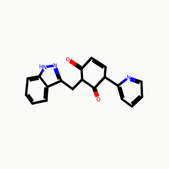 O=C1C=CC(c2ccccn2)C(=O)C1Cc1n[nH]c2ccccc12